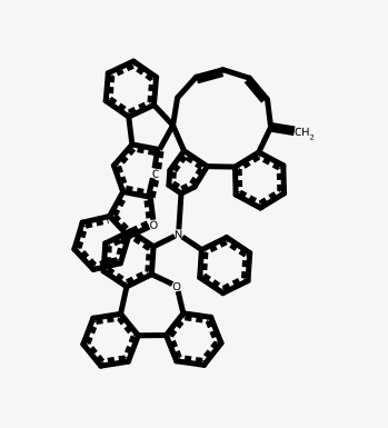 C=C1/C=C\C=C/CC2(c3ccc(N(c4ccccc4)c4cccc5c4Oc4ccccc4-c4ccccc4-5)cc3-c3ccccc31)c1ccccc1-c1cc3c(cc12)oc1ccccc13